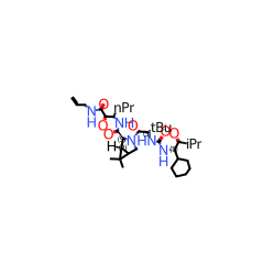 C=CCNC(=O)C(=O)C(CCC)NC(=O)[C@@H]1[C@@H]2C(CN1C(=O)[C@@H](NC(=O)N[C@H](C(=O)C(C)C)C1CCCCC1)C(C)(C)C)C2(C)C